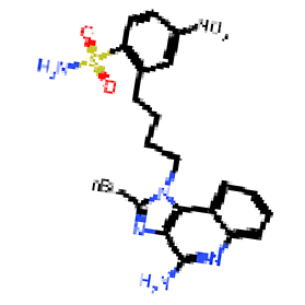 CCCCc1nc2c(N)nc3ccccc3c2n1CCCCc1cc([N+](=O)[O-])ccc1S(N)(=O)=O